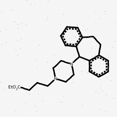 CCOC(=O)CCCN1CCN(C2c3ccccc3CCc3ccccc32)CC1